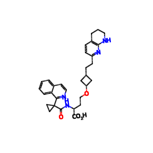 O=C(O)C(CCOC1CC(CCc2ccc3c(n2)NCCC3)C1)NC(=O)C1(c2nccc3ccccc23)CC1